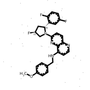 COc1ccc(CNc2ccnc3ccc(N4C[C@@H](F)C[C@@H]4c4cc(F)ccc4F)nc23)cc1